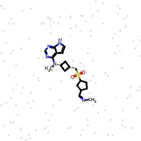 C/N=C\C1CCC(S(=O)(=O)C[C@H]2C[C@@H](N(C)c3ncnc4[nH]ccc34)C2)C1